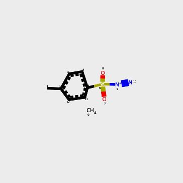 C.Cc1ccc(S(=O)(=O)[N+]#N)cc1